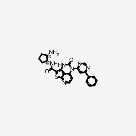 N[C@H]1CCC[C@H]1NC(=O)c1sc2nccc3c2c1NC(=O)N3c1cc(-c2ccccc2)ncn1